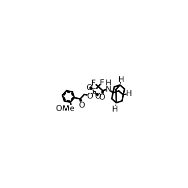 COc1ccccc1C(=O)COS(=O)(=O)C(F)(F)C(=O)NC12C[C@H]3C[C@@H](C1)C[C@@H](C2)C3